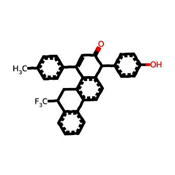 Cc1ccc(C2=CC(=O)C(c3ccc(O)cc3)c3ccc4c(c32)CC(C(F)(F)F)c2ccccc2-4)cc1